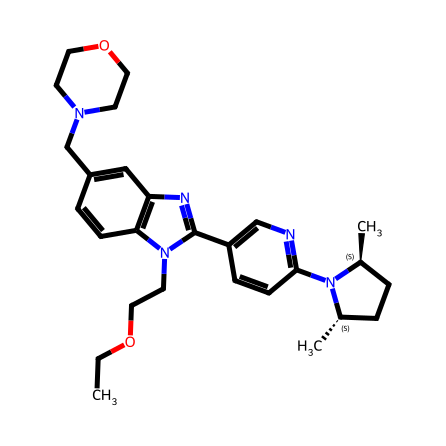 CCOCCn1c(-c2ccc(N3[C@@H](C)CC[C@@H]3C)nc2)nc2cc(CN3CCOCC3)ccc21